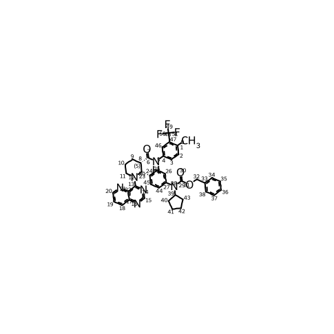 Cc1ccc(NC(=O)[C@H]2CCCN(c3ncnc4cccnc34)[C@H]2c2ccc(N(C(=O)OCc3ccccc3)C3CCCC3)cc2)cc1C(F)(F)F